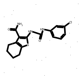 NC(=O)c1c(NC(=O)Nc2cccc(Cl)c2)sc2c1CCCC2